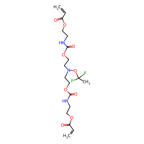 C=CC(=O)OCCNC(=O)OCCN(CCOC(=O)NCCOC(=O)C=C)OC(C)(F)F